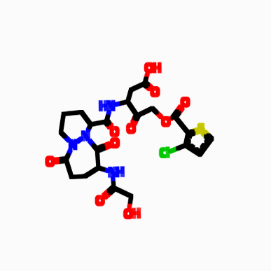 O=C(O)CC(NC(=O)C1CCCN2C(=O)CCC(NC(=O)CO)C(=O)N12)C(=O)COC(=O)c1sccc1Cl